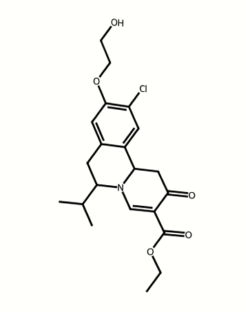 CCOC(=O)C1=CN2C(CC1=O)c1cc(Cl)c(OCCO)cc1CC2C(C)C